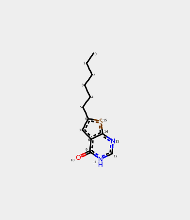 CCCCCCc1cc2c(=O)[nH]cnc2s1